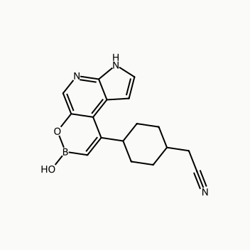 N#CCC1CCC(C2=CB(O)Oc3cnc4[nH]ccc4c32)CC1